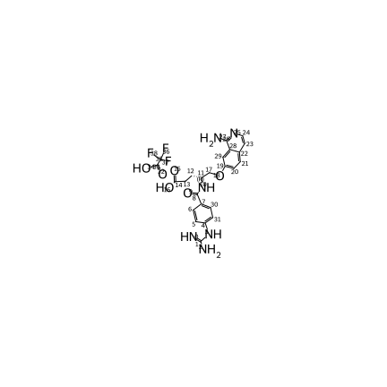 N=C(N)Nc1ccc(C(=O)N[C@H](CCC(=O)O)COc2ccc3ccnc(N)c3c2)cc1.O=C(O)C(F)(F)F